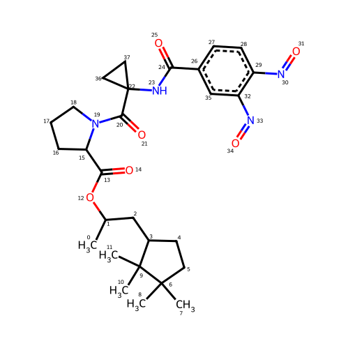 CC(CC1CCC(C)(C)C1(C)C)OC(=O)C1CCCN1C(=O)C1(NC(=O)c2ccc(N=O)c(N=O)c2)CC1